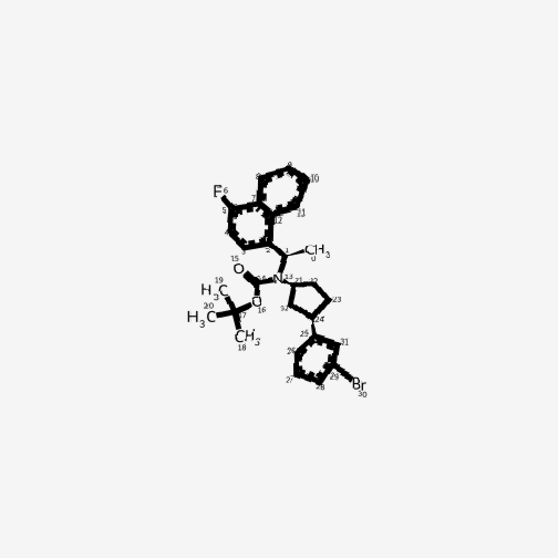 C[C@H](c1ccc(F)c2ccccc12)N(C(=O)OC(C)(C)C)[C@H]1CC[C@@H](c2cccc(Br)c2)C1